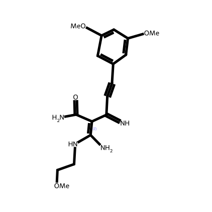 COCCN/C(N)=C(/C(=N)C#Cc1cc(OC)cc(OC)c1)C(N)=O